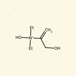 C=C(CO)[N+](O)(CC)CC